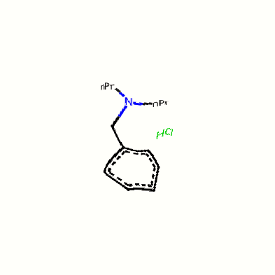 CCCN(CCC)Cc1ccccc1.Cl